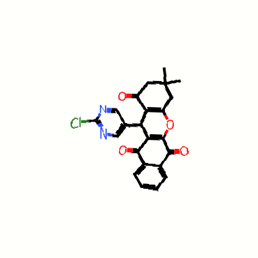 CC1(C)CC(=O)C2=C(C1)OC1=C(C(=O)c3ccccc3C1=O)C2c1cnc(Cl)nc1